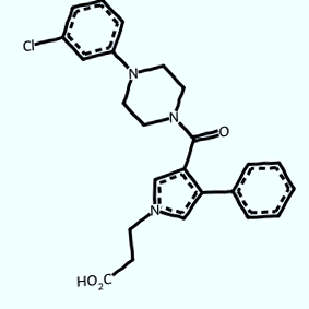 O=C(O)CCn1cc(C(=O)N2CCN(c3cccc(Cl)c3)CC2)c(-c2ccccc2)c1